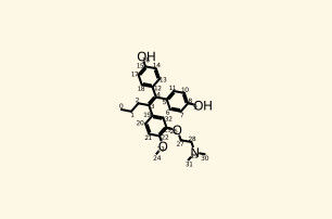 CCCC(=C(c1ccc(O)cc1)c1ccc(O)cc1)c1ccc(OC)c(OCCN(C)C)c1